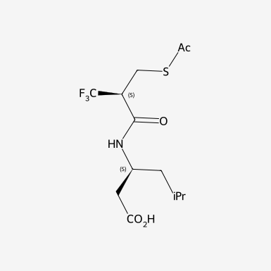 CC(=O)SC[C@@H](C(=O)N[C@H](CC(=O)O)CC(C)C)C(F)(F)F